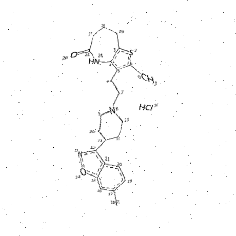 Cc1sc2c(c1CCN1CCC(c3noc4cc(F)ccc34)CC1)NC(=O)CCC2.Cl